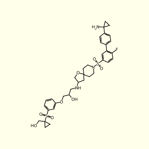 NC1(c2ccc(-c3cc(S(=O)(=O)N4CCC5(CC4)CC(NCC(O)COc4cccc(S(=O)(=O)C6(CO)CC6)c4)CO5)ccc3F)cc2)CC1